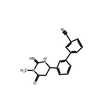 CN1C(=N)NC(c2cccc(-c3cccc(C#N)c3)c2)CC1=O